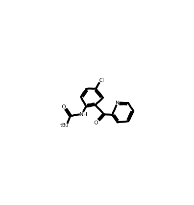 CC(C)(C)C(=O)Nc1ccc(Cl)cc1C(=O)c1ccccn1